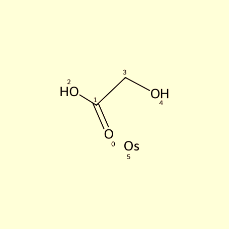 O=C(O)CO.[Os]